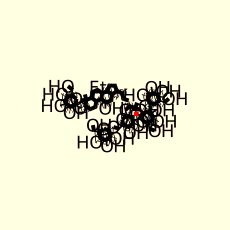 CC[C@@]12CCC([C@H](C)CC[C@@H](O[C@@H]3O[C@H](CO[C@H]4O[C@H](CO)[C@@H](O)[C@H](O)[C@H]4O)[C@@H](O)[C@H](O)[C@H]3O[C@@H]3O[C@H](CO)[C@@H](O)[C@H](O)[C@H]3O[C@H]3C[C@H](CO)[C@@H](O)[C@H](O)[C@H]3O)C(C)(C)O)[C@@]1(C)C[C@@H](O)[C@@]1(C)C3CC[C@H](O[C@@H]4O[C@H](CO)[C@@H](O)[C@H](O)[C@H]4O)C(C)(C)C3=CCC12